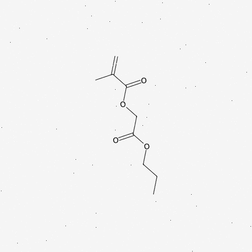 C=C(C)C(=O)OCC(=O)OCCC